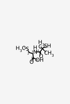 CSCC(NC(=O)C(C)(C)S)C(=O)O